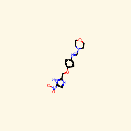 O=[N+]([O-])c1cnc(COc2ccc(/N=C/N3CCOCC3)cc2)[nH]1